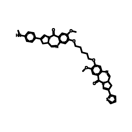 CNc1ccc(C2=CN3C(=O)c4cc(OC)c(OCCCCCOc5cc6c(cc5OC)C(=O)N5C=C(c7cccs7)CC5C=N6)cc4N=CC3C2)cc1